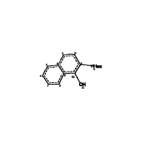 CCCCCCc1ccc2ccccc2c1O